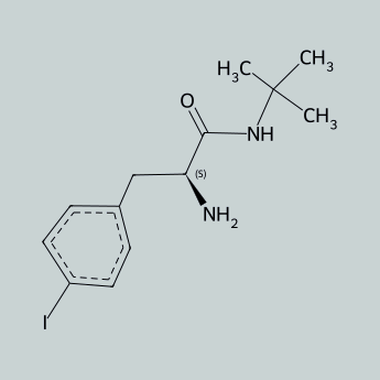 CC(C)(C)NC(=O)[C@@H](N)Cc1ccc(I)cc1